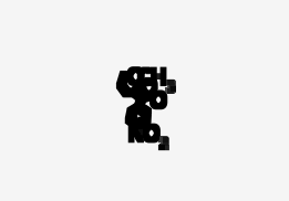 CC12OCCCC1=C(c1ccc([N+](=O)[O-])cc1)C(=O)O2